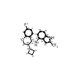 Fc1ccc2c(c1)OC[C@H](N1CCC1)[C@H]2Nc1cccc2[nH]c(C(F)(F)F)cc12